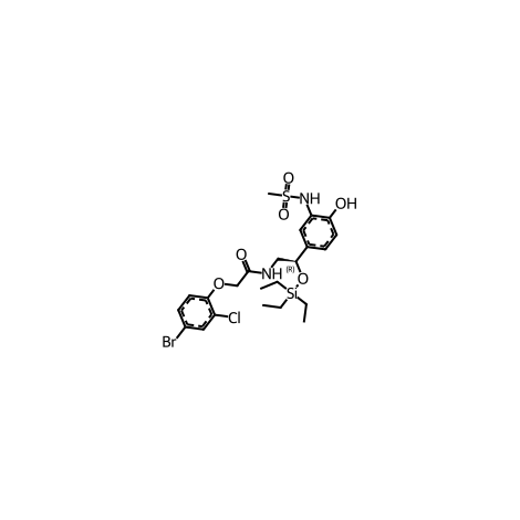 CC[Si](CC)(CC)O[C@@H](CNC(=O)COc1ccc(Br)cc1Cl)c1ccc(O)c(NS(C)(=O)=O)c1